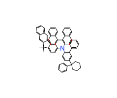 CC1(C)c2ccc(N(c3ccc(C4(c5ccccc5)CCCCC4)cc3-c3ccccc3)c3ccc4ccccc4c3-c3cccc4ccccc34)cc2-c2cc3ccccc3cc21